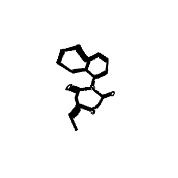 C/C=C1\SC(=O)N(c2cccc3ccccc23)C1=O